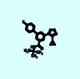 CC(C)(C)NC(=O)c1cc(-c2ccc(F)cc2)cc(-n2ccnc2C2CC2)c1